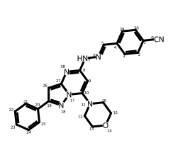 N#Cc1ccc(/C=N/Nc2cc(N3CCOCC3)n3nc(-c4ccccc4)cc3n2)cc1